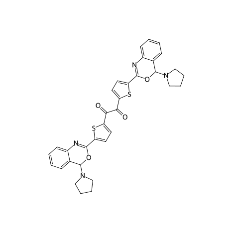 O=C(C(=O)c1ccc(C2=Nc3ccccc3C(N3CCCC3)O2)s1)c1ccc(C2=Nc3ccccc3C(N3CCCC3)O2)s1